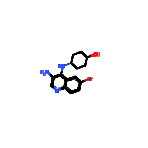 Nc1cnc2ccc(Br)cc2c1N[C@H]1CC[C@H](O)CC1